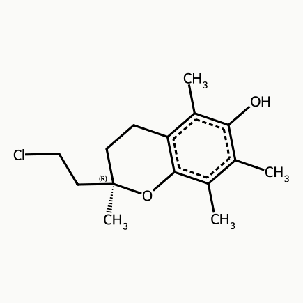 Cc1c(C)c2c(c(C)c1O)CC[C@](C)(CCCl)O2